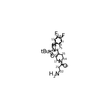 CC(C)(C)[S+]([O-])N[C@H](Cc1cc(F)c(F)cc1F)C1CCN(C(=O)CCN)CC1